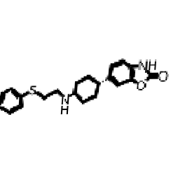 O=c1[nH]c2ccc([C@H]3CC[C@H](NCCSc4ccccc4)CC3)cc2o1